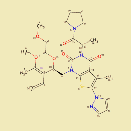 C=C/C(=C(\C)OC)[C@H](Cn1c(=O)n([C@@H](C)C(=O)N2CCCC2)c(=O)c2c(C)c(-n3cccn3)sc21)OCCOC